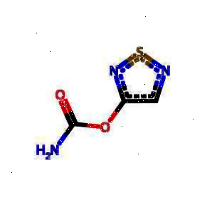 NC(=O)Oc1cnsn1